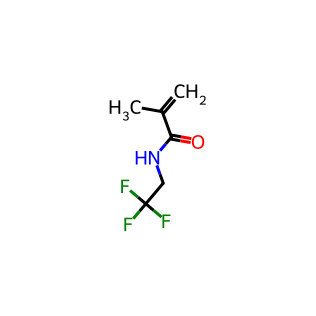 C=C(C)C(=O)NCC(F)(F)F